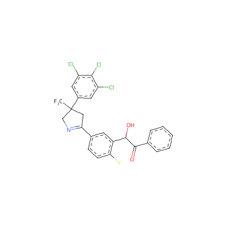 O=C(c1ccccc1)C(O)c1cc(C2=NCC(c3cc(Cl)c(Cl)c(Cl)c3)(C(F)(F)F)C2)ccc1F